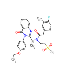 CCS(=O)(=O)CCN(C(=O)Cc1ccc(F)c(C(F)(F)F)c1)[C@H](C)c1nc2ccccc2c(=O)n1-c1ccc(OCC(F)(F)F)cc1